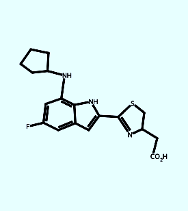 O=C(O)CC1CSC(c2cc3cc(F)cc(NC4CCCC4)c3[nH]2)=N1